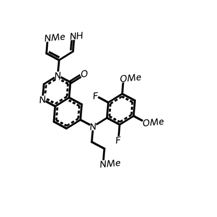 CN/C=C(\C=N)n1cnc2ccc(N(CCNC)c3c(F)c(OC)cc(OC)c3F)cc2c1=O